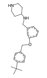 CC(C)(C)c1ccc(COc2cccc(CNC3CCNCC3)c2)cc1